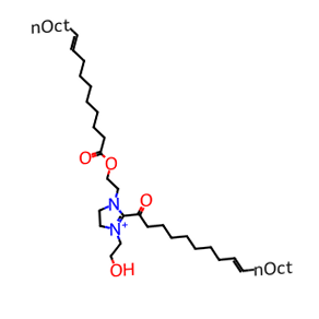 CCCCCCCCC=CCCCCCCCC(=O)OCCN1CC[N+](CCO)=C1C(=O)CCCCCCCC=CCCCCCCCC